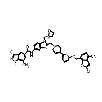 Cc1n[nH]c2c(C)cc(C(=O)Nc3ccc4c(c3)nc(CN3CC=C(c5cccc(OCc6ccc(C#N)c7cc(Cl)oc67)n5)CC3)n4C[C@@H]3CCO3)cc12